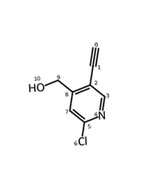 C#Cc1cnc(Cl)cc1CO